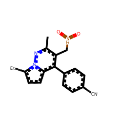 CCc1ccc2c(-c3ccc(C#N)cc3)c(C[SH](=O)=O)c(C)nn12